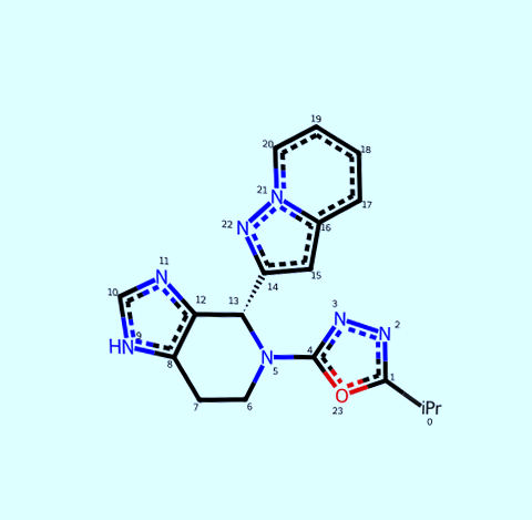 CC(C)c1nnc(N2CCc3[nH]cnc3[C@@H]2c2cc3ccccn3n2)o1